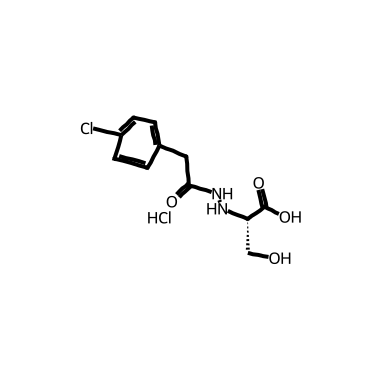 Cl.O=C(Cc1ccc(Cl)cc1)NN[C@@H](CO)C(=O)O